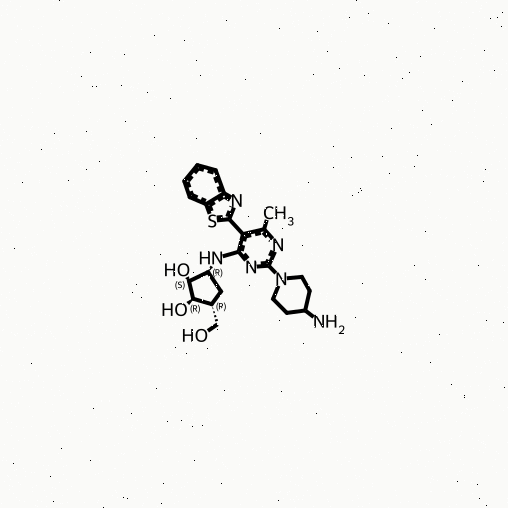 Cc1nc(N2CCC(N)CC2)nc(N[C@@H]2C[C@H](CO)[C@@H](O)[C@H]2O)c1-c1nc2ccccc2s1